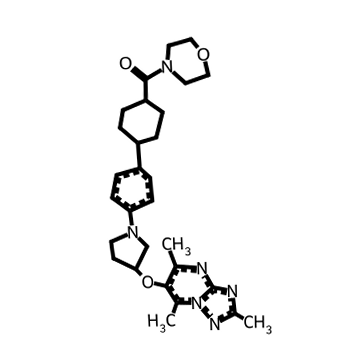 Cc1nc2nc(C)c(OC3CCN(c4ccc(C5CCC(C(=O)N6CCOCC6)CC5)cc4)C3)c(C)n2n1